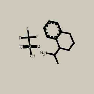 CC(N)C1CCCc2ccccc21.O=S(=O)(O)C(F)(F)F